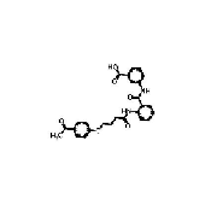 CC(=O)c1ccc(OCCCC(=O)Nc2ccccc2C(=O)Nc2cccc(C(=O)O)c2)cc1